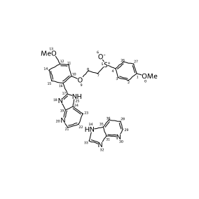 COc1ccc([S+]([O-])CCOc2cc(OC)ccc2-c2nc3ncccc3[nH]2)cc1.c1cnc2nc[nH]c2c1